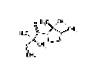 C=CC(C)(C)C(=O)C1CC=C(C)C1(C)C